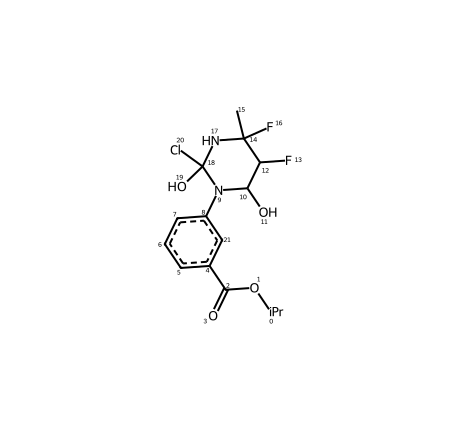 CC(C)OC(=O)c1cccc(N2C(O)C(F)C(C)(F)NC2(O)Cl)c1